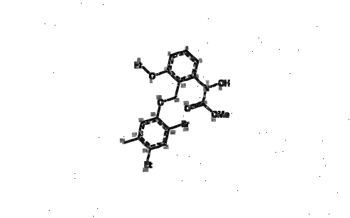 CCOc1cccc(N(O)C(=O)OC)c1COc1cc(C)c(CC)cc1Br